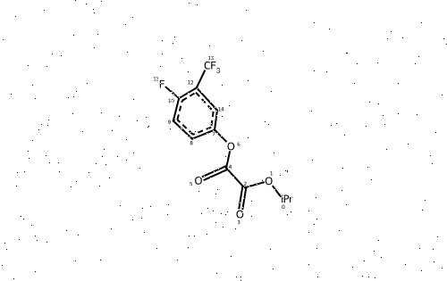 CC(C)OC(=O)C(=O)Oc1ccc(F)c(C(F)(F)F)c1